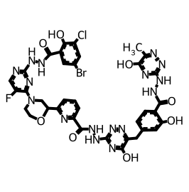 Cc1nnc(NNC(=O)c2ccc(Cc3nnc(NNC(=O)c4cccc(C5CN(c6nc(NNC(=O)c7cc(Br)cc(Cl)c7O)ncc6F)CCO5)n4)nc3O)cc2O)nc1O